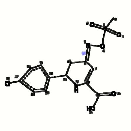 CS(=O)(=O)O/N=C1\C=C(C(=O)O)NC(c2ccc(Cl)cc2)C1